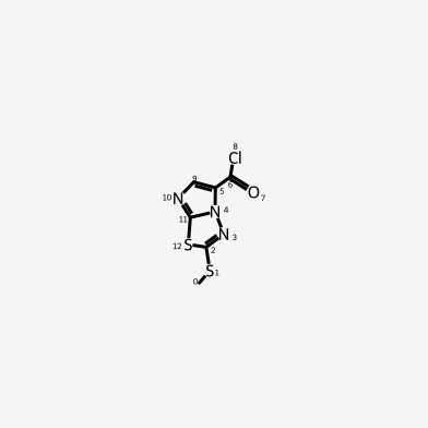 CSc1nn2c(C(=O)Cl)cnc2s1